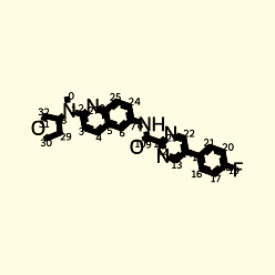 CN(c1ccc2cc(NC(=O)c3ncc(-c4ccc(F)cc4)cn3)ccc2n1)C1CCOC1